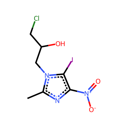 Cc1nc([N+](=O)[O-])c(I)n1CC(O)CCl